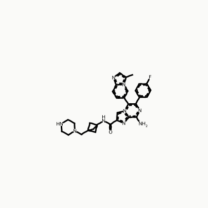 Cc1cnc2ccc(-c3c(-c4ccc(F)cc4)nc(N)c4nc(C(=O)NC56CC(CN7CCNCC7)(C5)C6)cn34)cn12